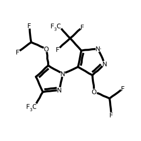 FC(F)OC1=N[N]C(C(F)(F)C(F)(F)F)=C1n1nc(C(F)(F)F)cc1OC(F)F